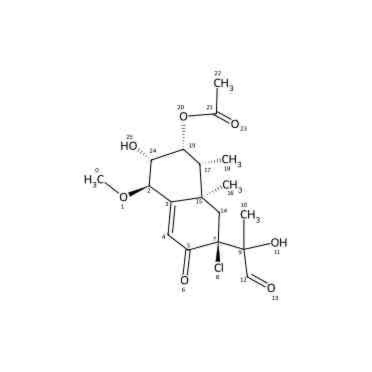 CO[C@@H]1C2=CC(=O)[C@@](Cl)(C(C)(O)C=O)C[C@]2(C)[C@@H](C)[C@@H](OC(C)=O)[C@H]1O